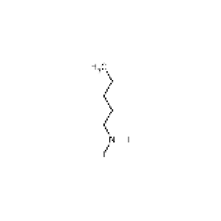 CCCCCN(I)I